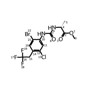 COC(=O)[C@@H](C)NC(=O)Nc1cc(Cl)c(CC(F)(F)F)cc1Br